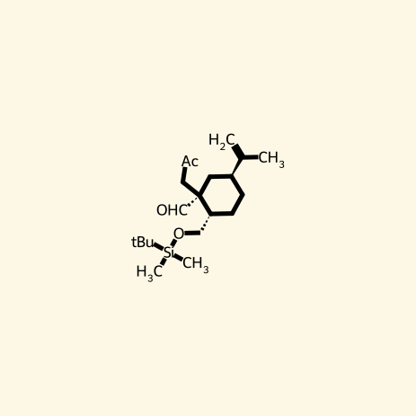 C=C(C)[C@H]1CC[C@H](CO[Si](C)(C)C(C)(C)C)[C@@](C=O)(CC(C)=O)C1